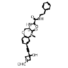 CN1C(=O)[C@@H](NC(=O)C(=O)NCCc2ccccc2)COc2ccc(C#CC3(O)CN(C=O)C3)cc21